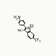 CCn1c(-c2ccc(N)cc2)c(C#N)c2ccc(C(F)(F)F)cc21